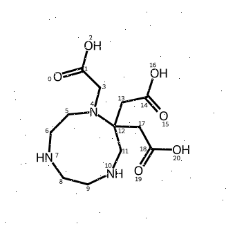 O=C(O)CN1CCNCCNCC1(CC(=O)O)CC(=O)O